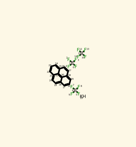 F[B-](F)(F)F.F[B-](F)(F)F.F[B-](F)(F)F.[KH].c1cc2ccc3cccc4ccc(c1)c2c34